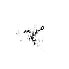 CCC[C@@H](CO)NC(=O)[C@H](CC(C)C)NC(=O)[C@H](CCC(=O)OC(C)(C)C)NC(=O)OCc1ccccc1